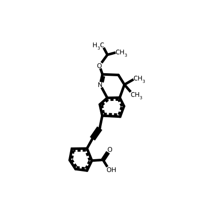 CC(C)OC1=Nc2cc(C#Cc3ccccc3C(=O)O)ccc2C(C)(C)C1